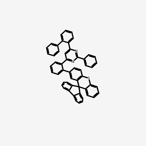 c1ccc(-c2nc(-c3ccccc3-c3ccccc3)cc(-c3ccccc3-c3ccc4c(c3)C3(c5ccccc5S4)c4ccccc4-c4ccccc43)n2)cc1